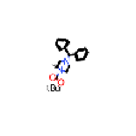 C[C@@H]1CN(C(c2ccccc2)c2ccccc2)CCN1C(=O)OC(C)(C)C